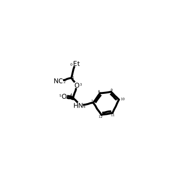 CCC(C#N)OC(=O)Nc1ccccc1